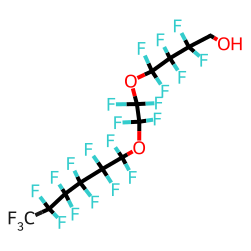 OCC(F)(F)C(F)(F)C(F)(F)OC(F)(F)C(F)(F)OC(F)(F)C(F)(F)C(F)(F)C(F)(F)C(F)(F)C(F)(F)F